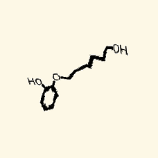 OCCCCCCOc1ccccc1O